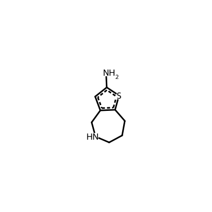 Nc1cc2c(s1)CCCNC2